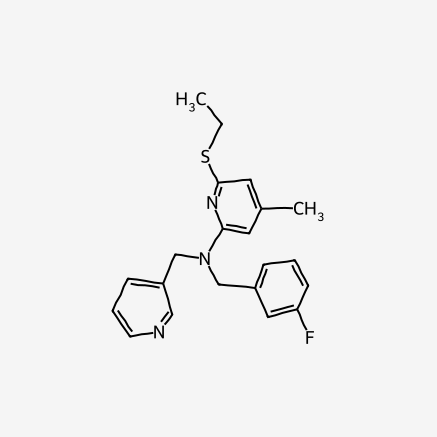 CCSc1cc(C)cc(N(Cc2cccnc2)Cc2cccc(F)c2)n1